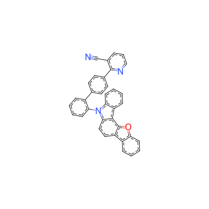 N#Cc1cccnc1-c1ccc(-c2ccccc2-n2c3ccccc3c3c4oc5ccccc5c4ccc32)cc1